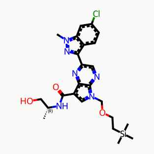 C[C@H](CO)NC(=O)c1cn(COCC[Si](C)(C)C)c2ncc(-c3nn(C)c4cc(Cl)ccc34)nc12